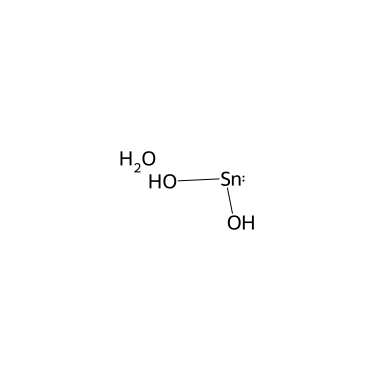 O.[OH][Sn][OH]